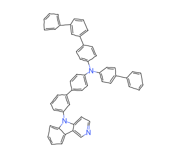 c1ccc(-c2ccc(N(c3ccc(-c4cccc(-c5ccccc5)c4)cc3)c3ccc(-c4cccc(-n5c6ccccc6c6cnccc65)c4)cc3)cc2)cc1